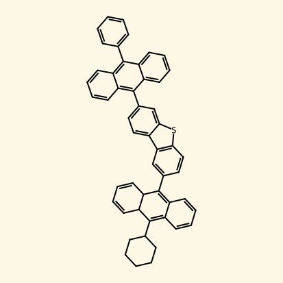 C1=CC2C(c3ccc4sc5cc(-c6c7ccccc7c(-c7ccccc7)c7ccccc67)ccc5c4c3)=c3ccccc3=C(C3CCCCC3)C2C=C1